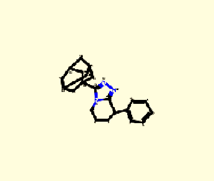 c1ccc(C2CCCn3c2nnc3C23CC4CC(CC(C4)C2)C3)cc1